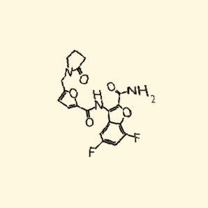 NC(=O)c1oc2c(F)cc(F)cc2c1NC(=O)c1ccc(CN2CCCC2=O)o1